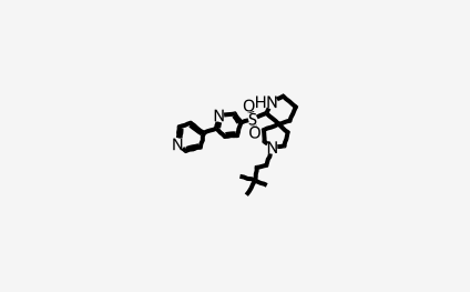 CC(C)(C)CCN1CCC2(CCCNC2S(=O)(=O)c2ccc(-c3ccncc3)nc2)CC1